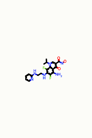 CC(C)n1cc(C(=O)N=O)c(=O)c2c(N)c(F)c(NCCNc3ccccn3)c(F)c21